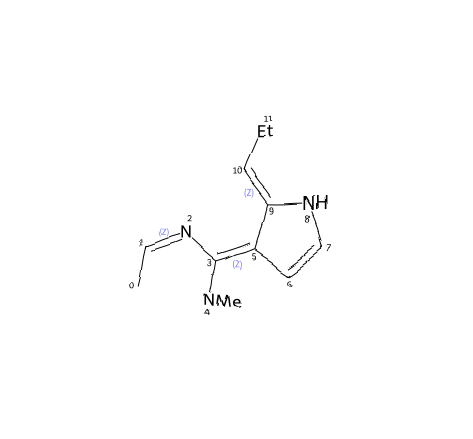 C\C=N/C(NC)=c1/cc[nH]/c1=C\CC